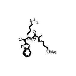 COCCCCC(C)C(=O)N[C@H](CCCCN)C(=O)c1nc2ccccc2s1